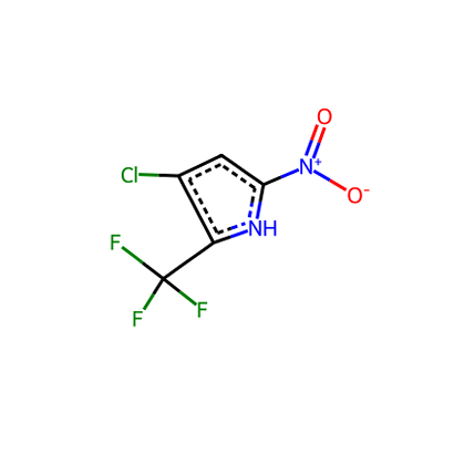 O=[N+]([O-])c1cc(Cl)c(C(F)(F)F)[nH]1